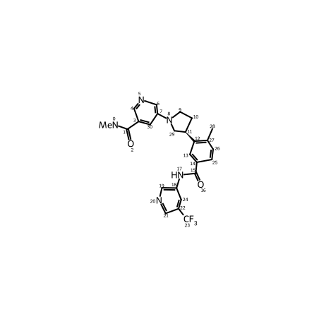 CNC(=O)c1cncc(N2CC[C@@H](c3cc(C(=O)Nc4cncc(C(F)(F)F)c4)ccc3C)C2)c1